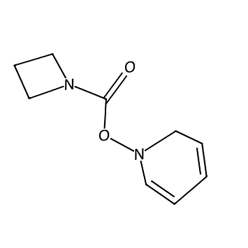 O=C(ON1C=CC=CC1)N1CCC1